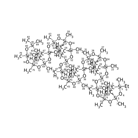 CC[Si](C)(C)O[Si](C)(C)O[Si](C)(C)O[Si](C)(C)O[Si](C)(C)O[Si](C)(C)O[Si](C)(C)O[Si](C)(C)O[Si](C)(C)O[Si](C)(C)O[Si](C)(C)O[Si](C)(C)O[Si](C)(C)O[Si](C)(C)O[Si](C)(C)O[Si](C)(C)O[Si](C)(C)O[Si](C)(C)O[Si](C)(C)O[Si](C)(C)O[Si](C)(C)C